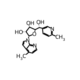 Cc1ccc([C@@H](O)[C@H]2O[C@@H](n3ccc4c(C)ccnc43)[C@H](O)[C@@H]2O)cn1